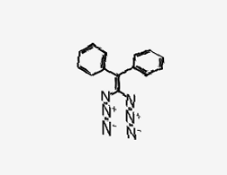 [N-]=[N+]=NC(N=[N+]=[N-])=C(c1ccccc1)c1ccccc1